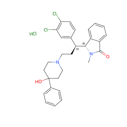 CN1C(=O)c2ccccc2[C@H]1[C@@H](CCN1CCC(O)(c2ccccc2)CC1)c1ccc(Cl)c(Cl)c1.Cl